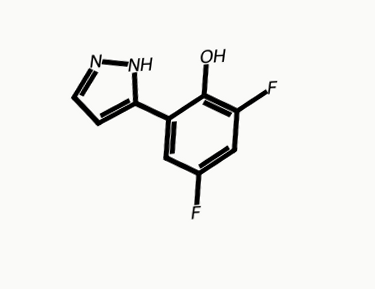 Oc1c(F)cc(F)cc1-c1ccn[nH]1